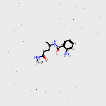 CC(CCC(=O)NC=O)NC(=O)c1ccccc1N